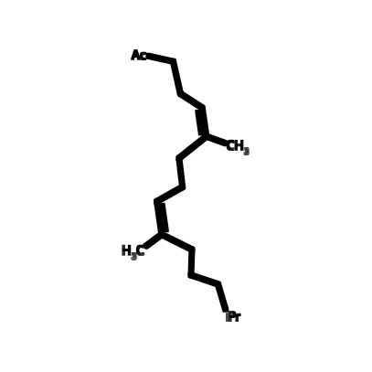 CC(=O)CCC=C(C)CCC=C(C)CCCC(C)C